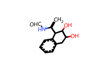 C=C(NC=O)C1c2ccccc2CC(O)C1O